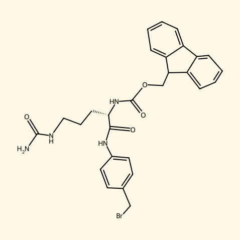 NC(=O)NCCC[C@H](NC(=O)OCC1c2ccccc2-c2ccccc21)C(=O)Nc1ccc(CBr)cc1